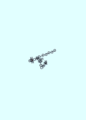 COCCOCCOCCOCCOCCCOc1nn([C@H]2CC[C@H](N3[C@@H]4CC[C@H]3COC4)CC2)cc1Nc1ncc(-c2ccc(Cl)c(O[C@@H](C)Cn3cncn3)c2)cn1